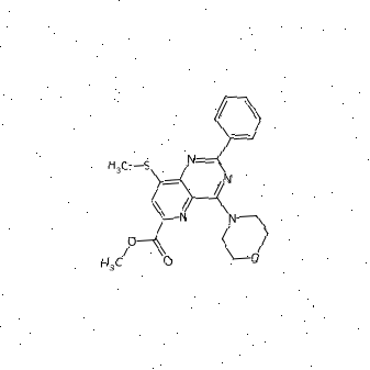 COC(=O)c1cc(SC)c2nc(-c3ccccc3)nc(N3CCOCC3)c2n1